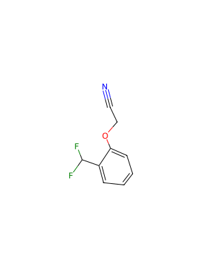 N#CCOc1ccccc1C(F)F